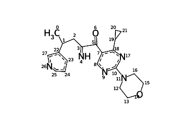 CC(CC(=N)C(=O)c1cnc(N2CCOCC2)nc1C1CC1)c1cccnc1